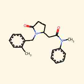 Cc1ccccc1CN1C(=O)CCC1CC(=O)N(C)c1ccccc1